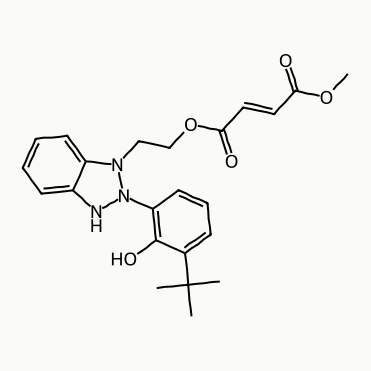 COC(=O)C=CC(=O)OCCN1c2ccccc2NN1c1cccc(C(C)(C)C)c1O